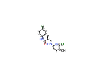 N#Cc1ccc(NCc2cc3cc(Cl)ccc3[nH]c2=O)nc1Cl